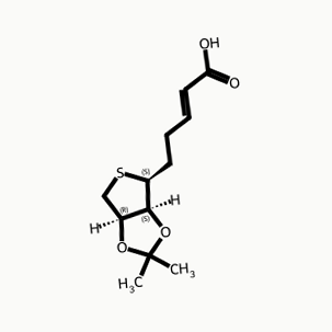 CC1(C)O[C@H]2[C@H](CS[C@H]2CCC=CC(=O)O)O1